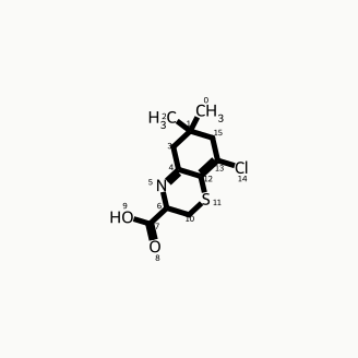 CC1(C)CC2=NC(C(=O)O)CSC2=C(Cl)C1